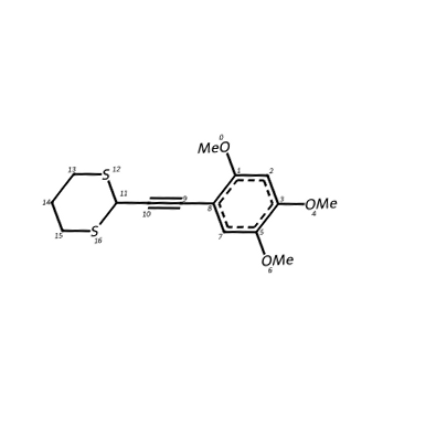 COc1cc(OC)c(OC)cc1C#CC1SCCCS1